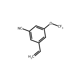 C=Cc1cc(C#N)cc(OC(F)(F)F)c1